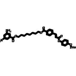 CCCCCCOc1ccc(OC(=O)C=Cc2ccc(C(=O)OCCCCCCCCOC(=O)c3cc(N)cc(N)c3)cc2)cc1